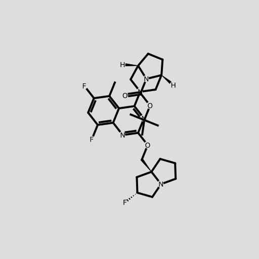 Cc1c(F)cc(F)c2nc(OC[C@@]34CCCN3C[C@H](F)C4)nc(N3C[C@H]4CC[C@@H](C3)N4C(=O)OC(C)(C)C)c12